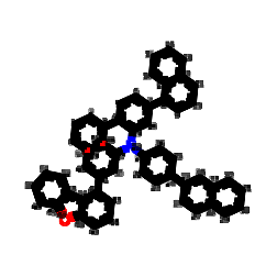 c1ccc(-c2ccc(-c3cccc4ccccc34)cc2N(c2ccc(-c3ccc4ccccc4c3)cc2)c2cccc(-c3cccc4oc5ccccc5c34)c2)cc1